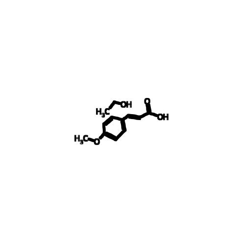 CCO.COc1ccc(/C=C/C(=O)O)cc1